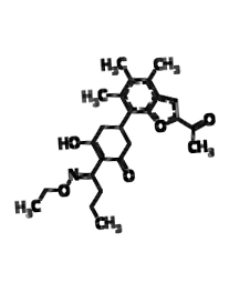 CCC/C(=N\OCC)C1=C(O)CC(c2c(C)c(C)c(C)c3cc(C(C)=O)oc23)CC1=O